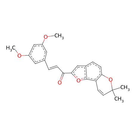 COc1cc(/C=C/C(=O)c2cc3ccc4c(c3o2)C=CC(C)(C)O4)cc(OC)c1